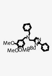 CCCCn1c(CN(Cc2ccccc2)Cc2cc(OC)c(OC)c(OC)c2)cnc1-c1ccccc1